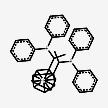 CC(P(c1ccccc1)c1ccccc1)[C]12[CH]3[CH]4[CH]5[CH]1[Fe]45321678[CH]2[CH]1[CH]6[C]7(C(C)P(c1ccccc1)c1ccccc1)[CH]28